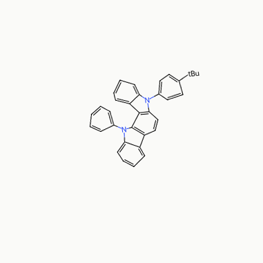 CC(C)(C)c1ccc(-n2c3ccccc3c3c2ccc2c4ccccc4n(-c4ccccc4)c23)cc1